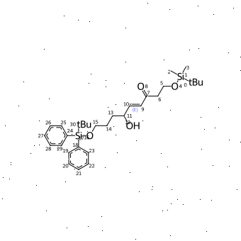 CC(C)(C)[Si](C)(C)OCCC(=O)/C=C/C(O)CCCO[Si](c1ccccc1)(c1ccccc1)C(C)(C)C